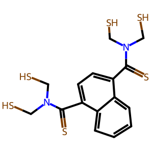 S=C(c1ccc(C(=S)N(CS)CS)c2ccccc12)N(CS)CS